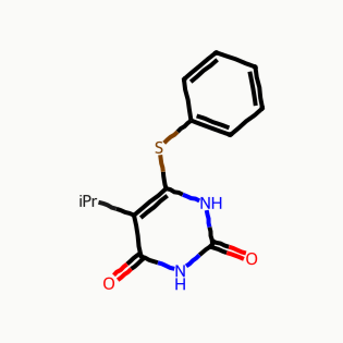 CC(C)c1c(Sc2ccccc2)[nH]c(=O)[nH]c1=O